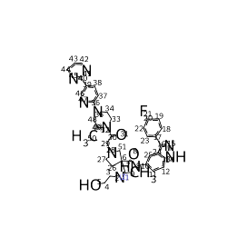 C/C(=N/CCO)C1(C(=O)Nc2ccc3[nH]nc(-c4ccc(F)cc4)c3c2)CCN(CC(=O)N2CCN(c3ccc(-c4ncccn4)cn3)C[C@H]2C)C1